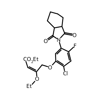 CCOC(=O)/C=C(\COc1cc(N2C(=O)C3CCCCC3C2=O)c(F)cc1Cl)OCC